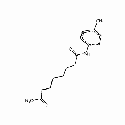 CC(=O)CCCCCCC(=O)Nc1ccc(C)cc1